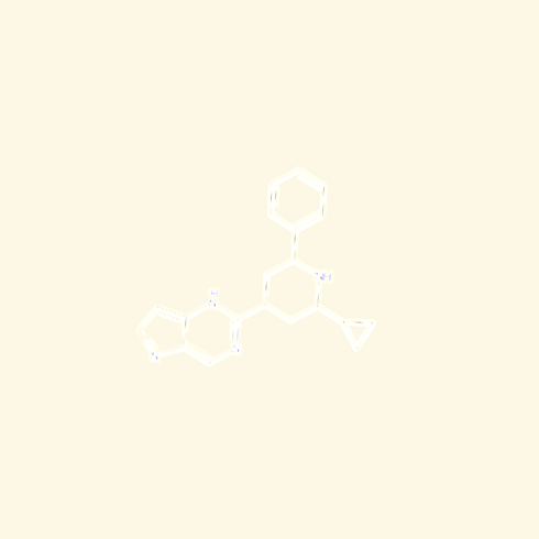 c1ccc(C2CC(c3ncc4nccc-4[nH]3)CC(C3CC3)N2)cc1